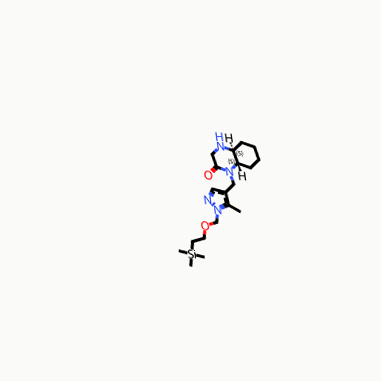 Cc1c(CN2C(=O)CN[C@H]3CCCC[C@@H]32)cnn1COCC[Si](C)(C)C